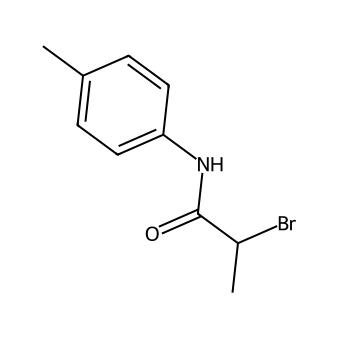 Cc1ccc(NC(=O)C(C)Br)cc1